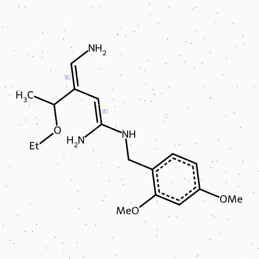 CCOC(C)C(/C=C(\N)NCc1ccc(OC)cc1OC)=C/N